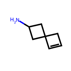 NC1CC2(C=CC2)C1